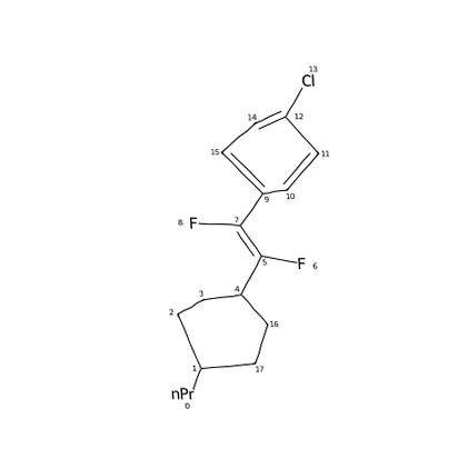 CCCC1CCC(/C(F)=C(\F)c2ccc(Cl)cc2)CC1